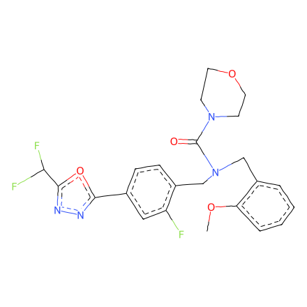 COc1ccccc1CN(Cc1ccc(-c2nnc(C(F)F)o2)cc1F)C(=O)N1CCOCC1